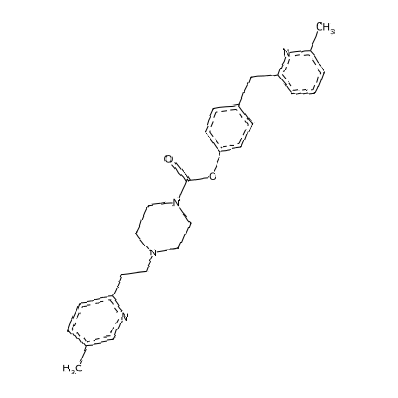 Cc1ccc(CCN2CCN(C(=O)Oc3ccc(Cc4cccc(C)n4)cc3)CC2)nc1